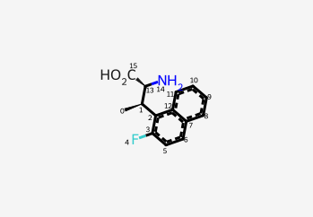 C[C@H](c1c(F)ccc2ccccc12)[C@H](N)C(=O)O